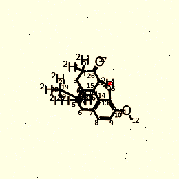 [2H]C1([2H])C[C@H]2[C@H]3Cc4ccc(OC)c5c4[C@@]2(CCN3C([2H])([2H])[2H])C([2H])(O5)C1=O